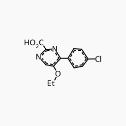 CCOc1cnc(C(=O)O)nc1-c1ccc(Cl)cc1